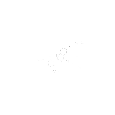 COc1cc(OC)c(Cl)c(-c2nc(N3CC4(CCOCC4)C3)c3cc(N[C@@H]4COCC[C@@H]4NC(C)=O)ncc3n2)c1Cl